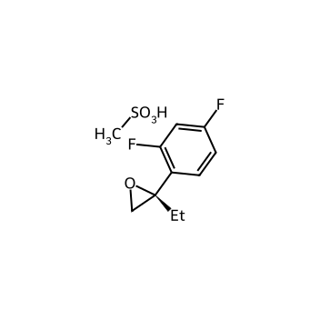 CC[C@@]1(c2ccc(F)cc2F)CO1.CS(=O)(=O)O